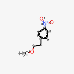 [CH2]OCCc1ccc([N+](=O)[O-])cc1